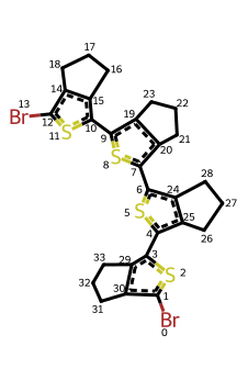 Brc1sc(-c2sc(-c3sc(-c4sc(Br)c5c4CCC5)c4c3CCC4)c3c2CCC3)c2c1CCC2